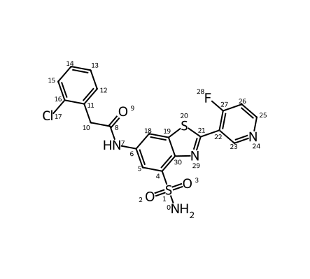 NS(=O)(=O)c1cc(NC(=O)Cc2ccccc2Cl)cc2sc(-c3cnccc3F)nc12